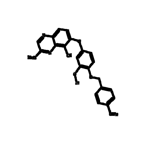 CCOc1cc(Oc2ccc3ncc(OC)nc3c2C#N)ccc1OCc1ccc(OC)cc1